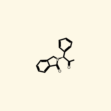 CC(=O)[C@H](c1ccccc1)N1Cc2ccccc2C1=O